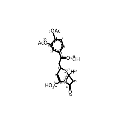 CC(=O)Oc1ccc(C(=O)CC2C=C(C(=O)O)N3C(=O)C[C@H]3S2)cc1OC(C)=O.Cl